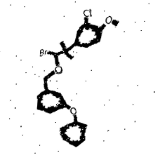 COc1ccc(C(C)(C)C(Br)OCc2cccc(Oc3ccccc3)c2)cc1Cl